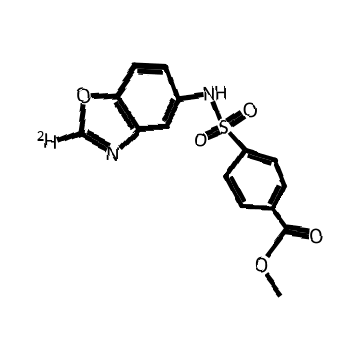 [2H]c1nc2cc(NS(=O)(=O)c3ccc(C(=O)OC)cc3)ccc2o1